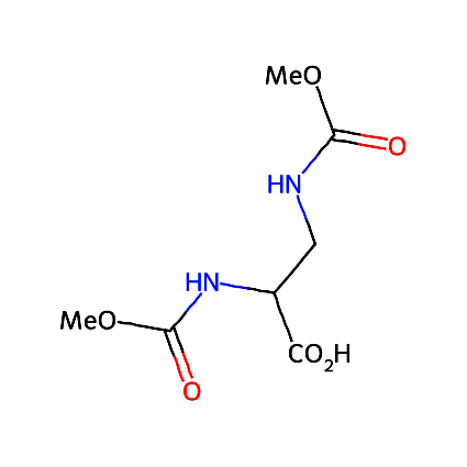 COC(=O)NCC(NC(=O)OC)C(=O)O